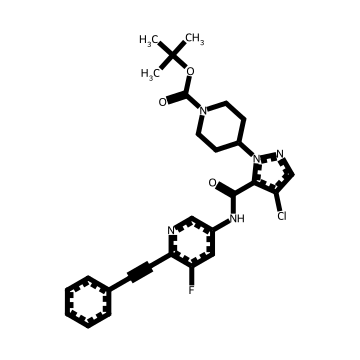 CC(C)(C)OC(=O)N1CCC(n2ncc(Cl)c2C(=O)Nc2cnc(C#Cc3ccccc3)c(F)c2)CC1